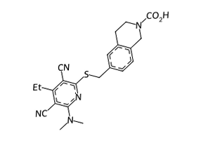 CCc1c(C#N)c(SCc2ccc3c(c2)CCN(C(=O)O)C3)nc(N(C)C)c1C#N